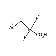 CC(=O)CC(F)(F)C(=O)O